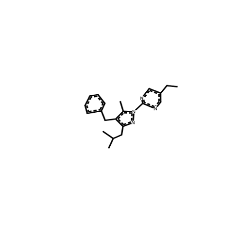 CCc1cnc(-n2nc(CC(C)C)c(Cc3ccccc3)c2C)nc1